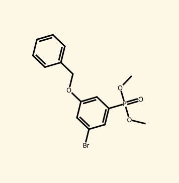 COP(=O)(OC)c1cc(Br)cc(OCc2ccccc2)c1